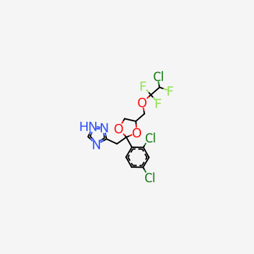 FC(Cl)C(F)(F)OCC1COC(Cc2nc[nH]n2)(c2ccc(Cl)cc2Cl)O1